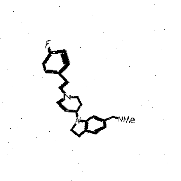 CNCc1ccc2c(c1)N(C1CCN(CCc3ccc(F)cc3)CC1)CC2